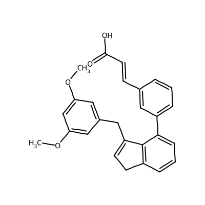 COc1cc(CC2=CCc3cccc(-c4cccc(C=CC(=O)O)c4)c32)cc(OC)c1